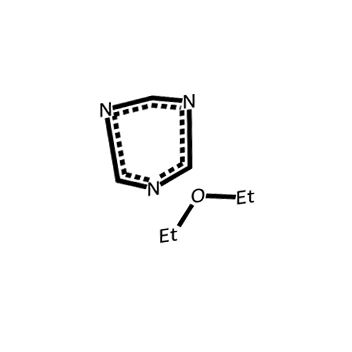 CCOCC.c1ncncn1